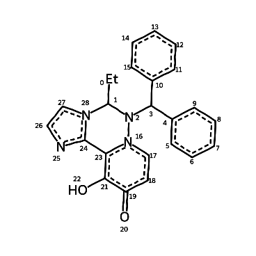 CCC1N(C(c2ccccc2)c2ccccc2)n2ccc(=O)c(O)c2-c2nccn21